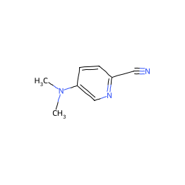 CN(C)c1ccc(C#N)nc1